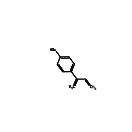 C=CC(=C)c1ccc(CCCC)cc1